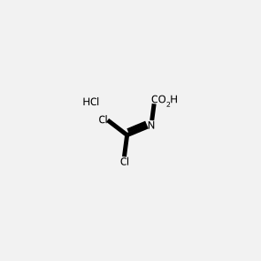 Cl.O=C(O)N=C(Cl)Cl